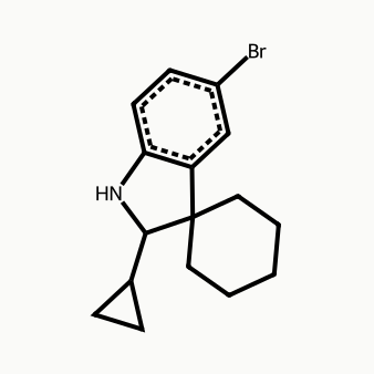 Brc1ccc2c(c1)C1(CCCCC1)C(C1CC1)N2